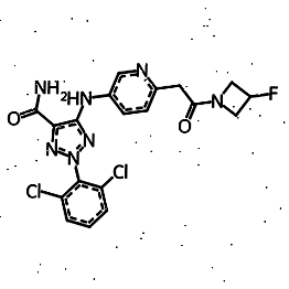 NC(=O)c1nn(-c2c(Cl)cccc2Cl)nc1Nc1ccc(CC(=O)N2CC(F)C2)nc1